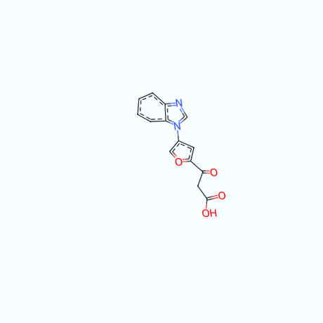 O=C(O)CC(=O)c1cc(-n2cnc3ccccc32)co1